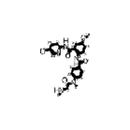 CNCC(=O)N(C)c1ccc(C(=O)Nc2ccc(OC)cc2C(=O)Nc2ccc(Cl)cn2)cc1